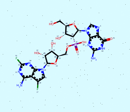 Nc1nc2c(ncn2[C@@H]2O[C@H](CO)[C@@H](O)[C@H]2P(=O)(O)OC[C@H]2O[C@@H](n3cc(F)c4c(N)nc(F)nc43)[C@H](O)[C@@H]2O)c(=O)[nH]1